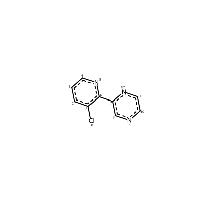 Clc1cccnc1-c1cnccn1